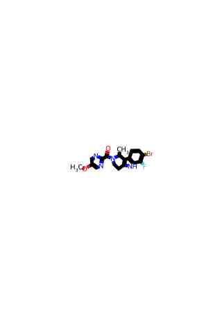 COc1cnc(C(=O)N2CCc3[nH]c4c(F)c(Br)ccc4c3C2C)nc1